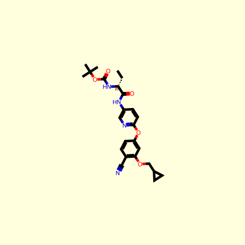 CC[C@@H](NC(=O)OC(C)(C)C)C(=O)Nc1ccc(Oc2ccc(C#N)c(OCC3CC3)c2)nc1